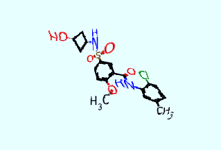 COc1ccc(S(=O)(=O)N[C@H]2C[C@@H](O)C2)cc1C(=O)Nc1cc(C)ccc1Cl